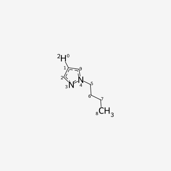 [2H]c1cnn(CCCC)c1